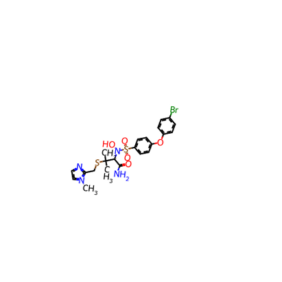 Cn1ccnc1CSC(C)(C)[C@H](C(N)=O)N(O)S(=O)(=O)c1ccc(Oc2ccc(Br)cc2)cc1